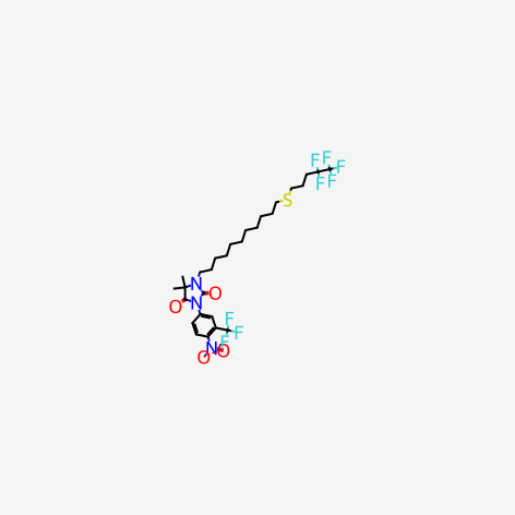 CC1(C)C(=O)N(c2ccc([N+](=O)[O-])c(C(F)(F)F)c2)C(=O)N1CCCCCCCCCCCSCCCC(F)(F)C(F)(F)F